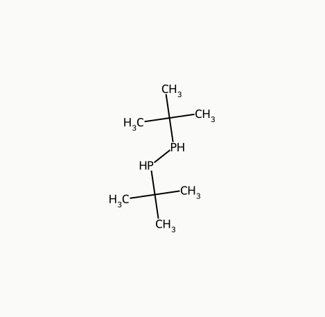 CC(C)(C)PPC(C)(C)C